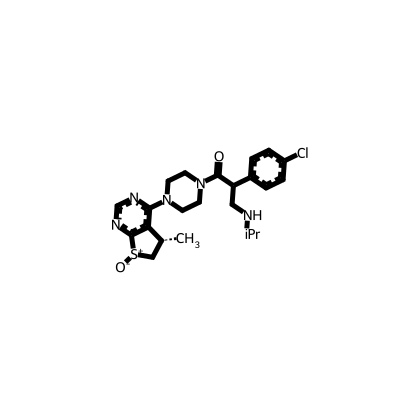 CC(C)NCC(C(=O)N1CCN(c2ncnc3c2[C@H](C)C[S+]3[O-])CC1)c1ccc(Cl)cc1